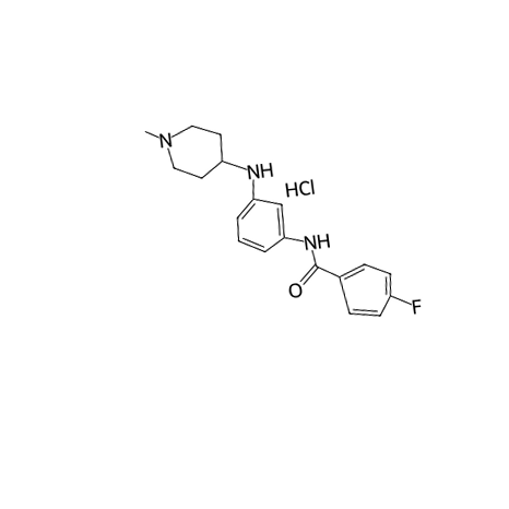 CN1CCC(Nc2cccc(NC(=O)c3ccc(F)cc3)c2)CC1.Cl